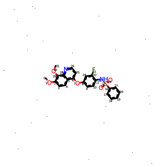 COc1ccc2c(Oc3ccc(NS(=O)(=O)c4ccccc4)c(F)c3)ccnc2c1OC